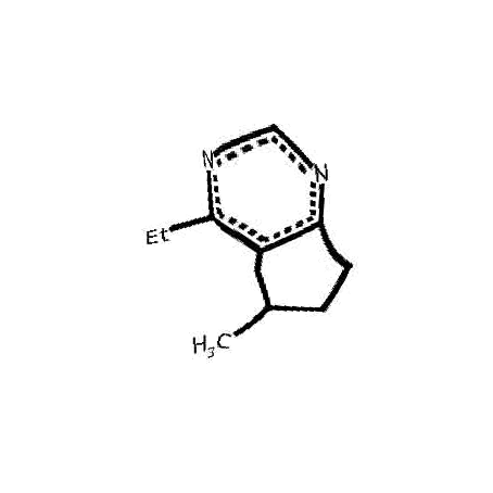 CCc1ncnc2c1C(C)CC2